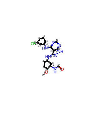 COc1ccc(Nc2n[nH]c3ncnc(Nc4cccc(Cl)c4)c23)cc1NC=O